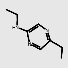 CCNc1cnc(CC)cn1